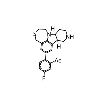 CC(=O)c1cc(F)ccc1-c1cc2c3c(c1)[C@@H]1CNCC[C@@H]1N3CCSC2